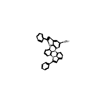 CC(C)(C)c1cc2c3c(c1)cc(-c1ccccc1)n3-c1cccc3c1B2c1cccc2cc(-c4ccccc4)n-3c12